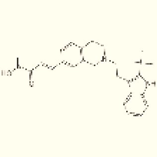 CC(C)(C)c1[nH]c2ccccc2c1CCN1CCc2ccc(C=CC(=O)NO)cc2C1